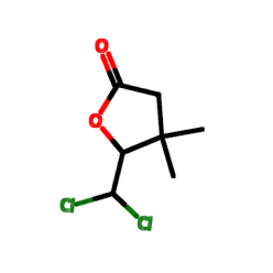 CC1(C)CC(=O)OC1C(Cl)Cl